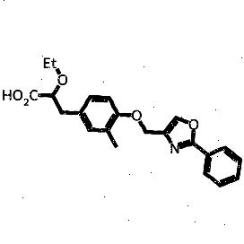 CCOC(Cc1ccc(OCc2coc(-c3ccccc3)n2)c(C)c1)C(=O)O